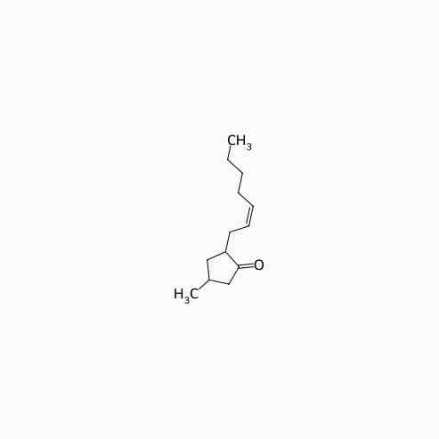 CCCC/C=C\CC1CC(C)CC1=O